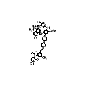 CCc1ccc2c(P(C)(C)=O)c(Nc3nc(Nc4cc(CC)c(N5CCC(N6CCN(CCc7cc(C)cc8c7oc(=O)n8C7CCC(=O)NC7=O)CC6)CC5)cc4OC)ncc3Br)ccc2n1